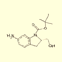 CC(C)(C)OC(=O)N1c2cc(N)ccc2C[C@H]1CO